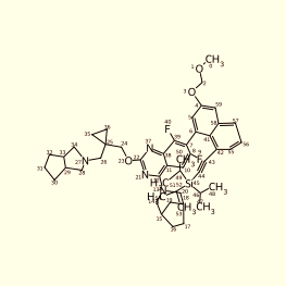 COCOc1cc(-c2c(F)cc3c(N4CC5CCC(C5)C4)nc(OCC4(CN5CC6CCCC6C5)CC4)nc3c2F)c2c(C#C[Si](C(C)C)(C(C)C)C(C)C)cccc2c1